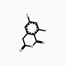 O=C1Cc2cc(F)cc(F)c2C(=O)O1